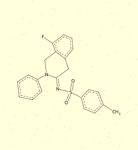 Cc1ccc(S(=O)(=O)N=C2Cc3cccc(F)c3CN2c2ccccc2)cc1